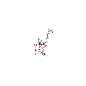 CCCCCC[SiH2]OC(OC(C)(C)C)OC(C)(C)C